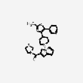 Cc1nc(C2CCN([N@@+]34C=CC=C3C=C(C(=O)N3CCSC3)C4)CC2)c(-c2ccccc2)s1